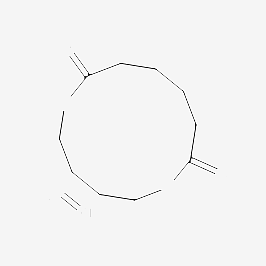 C=C.O=C1CCCCC(=O)OCCCCO1